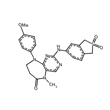 COc1ccc(N2CCC(=O)N(C)c3cnc(Nc4ccc5c(c4)CS(=O)(=O)C5)nc32)cc1